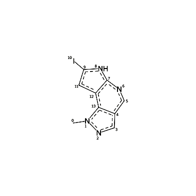 Cn1ncc2cnc3[nH]c(I)cc3c21